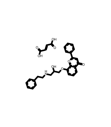 O=C(O)C=CC(=O)O.O=c1cc(-c2ccccc2)oc2c(OCC(O)CNCCc3ccccc3)cccc12